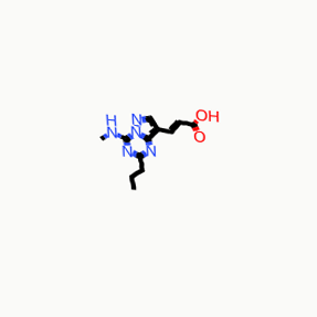 CCCc1nc(NC)n2ncc(C=CC(=O)O)c2n1